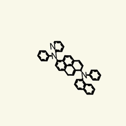 C1=CC(N(c2ccccc2)c2cccc3ccccc23)C2=CCc3ccc(N(c4ccccc4)c4ccccn4)c4ccc1c2c34